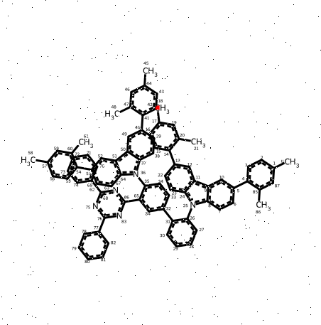 Cc1ccc(-c2ccc3c(c2)c2cc(-c4ccc(C)cc4C)ccc2n3-c2ccccc2-c2ccc(-n3c4ccc(-c5ccc(C)cc5C)cc4c4cc(-c5ccc(C)cc5C)ccc43)c(-c3nc(-c4ccccc4)nc(-c4ccccc4)n3)c2)c(C)c1